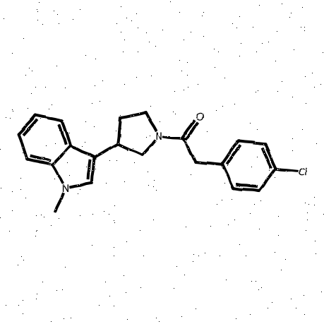 Cn1cc(C2CCN(C(=O)Cc3ccc(Cl)cc3)C2)c2ccccc21